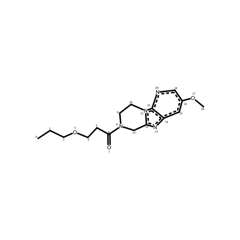 CCCOCCC(=O)N1CCn2c(nc3cc(OC)cnc32)C1